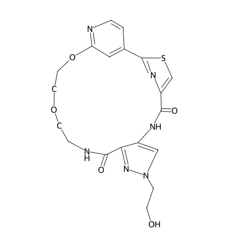 O=C1Nc2cn(CCO)nc2C(=O)NCCOCCOc2cc(ccn2)-c2nc1cs2